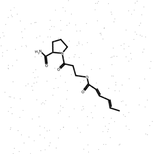 C/C=C/C=C/C(=O)OCCC(=O)N1CCCC1C(N)=O